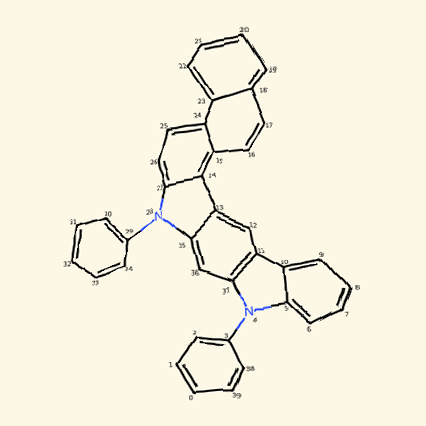 c1ccc(-n2c3ccccc3c3cc4c5c6ccc7ccccc7c6ccc5n(-c5ccccc5)c4cc32)cc1